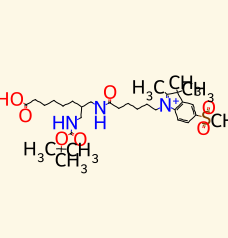 CC1=[N+](CCCCCC(=O)NCC(CCCCCC(=O)O)CNC(=O)OC(C)(C)C)c2ccc(S(C)(=O)=O)cc2C1(C)C